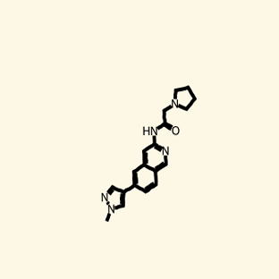 Cn1cc(-c2ccc3cnc(NC(=O)CN4CCCC4)cc3c2)cn1